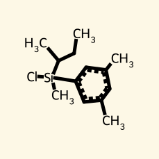 CCC(C)[Si](C)(Cl)c1cc(C)cc(C)c1